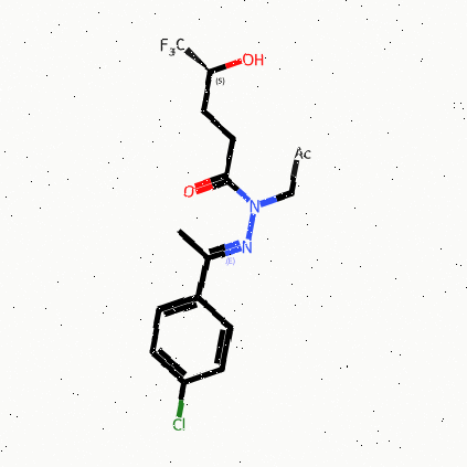 CC(=O)CN(/N=C(\C)c1ccc(Cl)cc1)C(=O)CC[C@H](O)C(F)(F)F